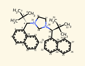 CC(C)(C)[C@@H](c1cccc2ccccc12)N1CCN([C@H](c2cccc3ccccc23)C(C)(C)C)C1